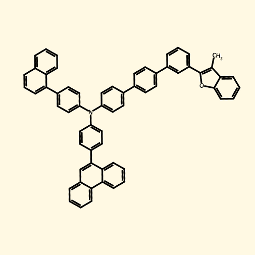 Cc1c(-c2cccc(-c3ccc(-c4ccc(N(c5ccc(-c6cccc7ccccc67)cc5)c5ccc(-c6cc7ccccc7c7ccccc67)cc5)cc4)cc3)c2)oc2ccccc12